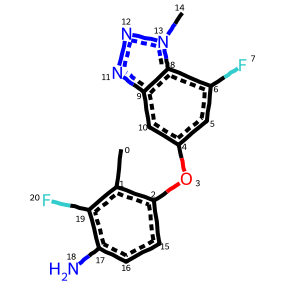 Cc1c(Oc2cc(F)c3c(c2)nnn3C)ccc(N)c1F